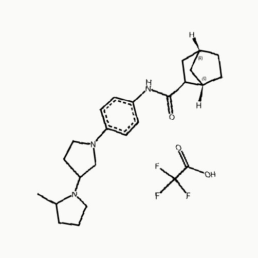 CC1CCCN1C1CCN(c2ccc(NC(=O)C3C[C@@H]4CC[C@H]3C4)cc2)C1.O=C(O)C(F)(F)F